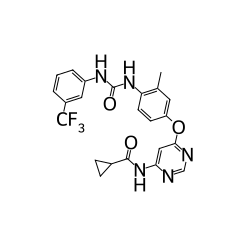 Cc1cc(Oc2cc(NC(=O)C3CC3)ncn2)ccc1NC(=O)Nc1cccc(C(F)(F)F)c1